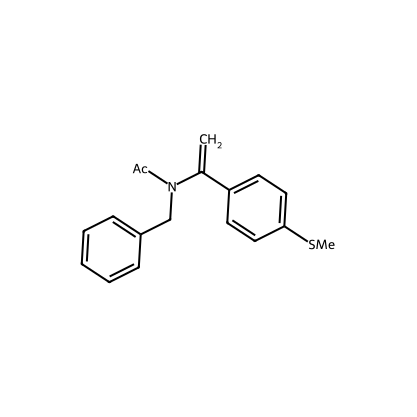 C=C(c1ccc(SC)cc1)N(Cc1ccccc1)C(C)=O